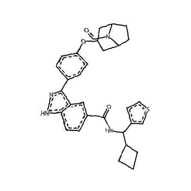 O=CN1C2CCC1CC(Oc1ccc(-c3n[nH]c4ccc(C(=O)NC(c5ccsc5)C5CCC5)cc34)cc1)C2